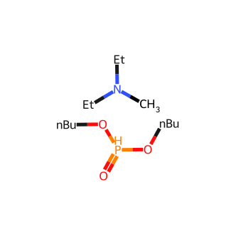 CCCCO[PH](=O)OCCCC.CCN(C)CC